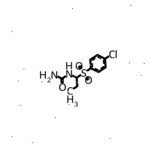 CCC(NC(N)=O)S(=O)(=O)c1ccc(Cl)cc1